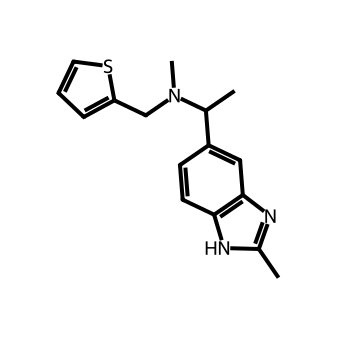 Cc1nc2cc(C(C)N(C)Cc3cccs3)ccc2[nH]1